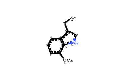 COc1cccc2c(CC(C)=O)c[nH]c12